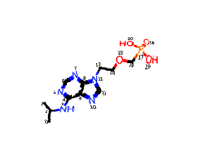 CC(C)Nc1ncnc2c1ncn2CCOCP(=O)(O)O